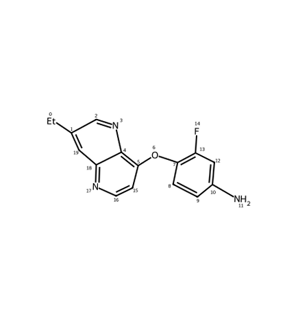 CCc1cnc2c(Oc3ccc(N)cc3F)ccnc2c1